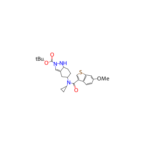 COc1ccc2c(C(=O)N(C3CC3)C3CCC4NN(C(=O)OC(C)(C)C)C=C4C3)csc2c1